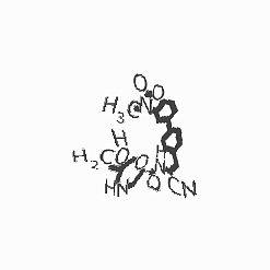 C=C[C@]1(O)CNC[C@@H](C(=O)N[C@H](C#N)Cc2ccc(-c3ccc4oc(=O)n(C)c4c3)cc2)OC1